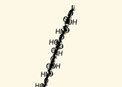 CC(=O)N(O)CCOCCNC(=O)CCC(=O)N(O)CCOCCNC(=O)CCC(=O)N(O)CCOCCNC(=O)CSCN(O)C(=O)CCOCCI